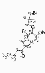 COc1cc2sc(C(=O)C[C@H](C)C(=O)O)cc2c(F)c1OCC(C)(C)CBr